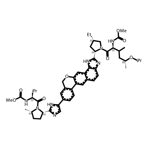 CC[C@H]1C[C@@H](c2nc3ccc4cc5c(cc4c3[nH]2)OCc2cc(-c3cnc([C@@H]4CC[C@H](C)N4C(=O)[C@@H](NC(=O)OC)C(C)C)[nH]3)ccc2-5)N(C(=O)[C@@H](NC(=O)OC)C(C)C[C@@H](C)OC(C)C)C1